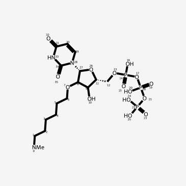 CNCCCCCCOC1C(O)[C@@H](COP(=O)(O)OP(=O)(O)OP(=O)(O)O)O[C@H]1n1ccc(=O)[nH]c1=O